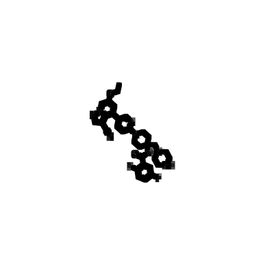 CCOc1cc(-c2ccc(N3CCC(CN4CCNCC4)(NC(=O)c4cc(F)ccc4F)CC3)nc2)c2c(C#N)cnn2c1